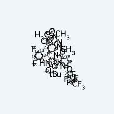 CN(c1nn(C)c2c(-n3c(C(Cc4cc(F)cc(F)c4)NC(=O)OC(C)(C)C)nc4nc(OCC(F)(F)C(F)(F)C(F)(F)F)ccc4c3=O)ccc(Cl)c12)S(C)(=O)=O